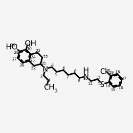 CCCN(CCCCCCNCCSc1ccccc1Cl)C1CCc2c(ccc(O)c2O)C1